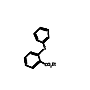 CCOC(=O)c1ccccc1Sc1ccccc1